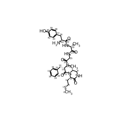 CSCC[C@@H]1C(=O)NCCN1C(=O)[C@H](Cc1ccccc1)N(C)C(=O)CNC(=O)[C@@H](C)NC(=O)[C@@H](N)Cc1ccc(O)cc1